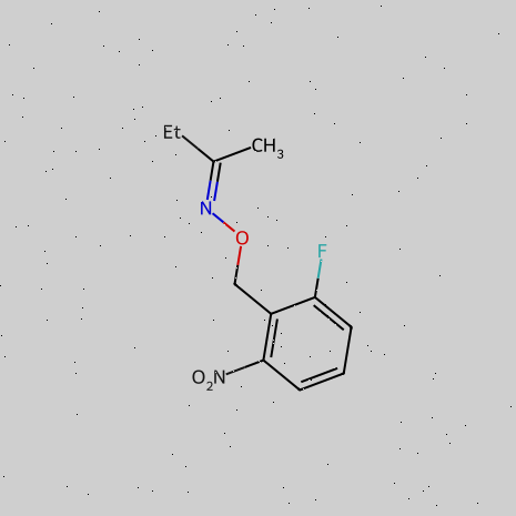 CCC(C)=NOCc1c(F)cccc1[N+](=O)[O-]